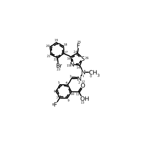 CN(/N=C/c1ccc(F)cc1C(=O)O)c1nc(-c2ccccc2Br)c(F)s1